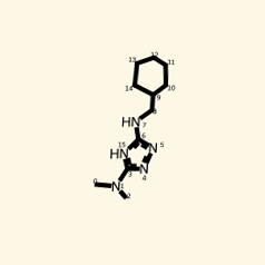 CN(C)c1nnc(NCC2CCCCC2)[nH]1